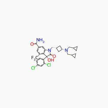 NC(=O)c1cc2c(c(C(F)(F)F)c1)C(O)(c1ccc(Cl)cc1Cl)C(=O)N2C[C@H]1C[C@@H](N(CC2CC2)CC2CC2)C1